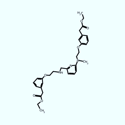 CCOC(=O)Cc1cccc(OCCNCc2cccc(N(C)CCOc3cccc(CC(=O)OCC)c3)n2)c1